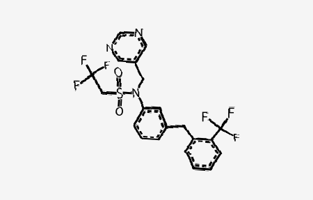 O=S(=O)(CC(F)(F)F)N(Cc1cncnc1)c1cccc(Cc2ccccc2C(F)(F)F)c1